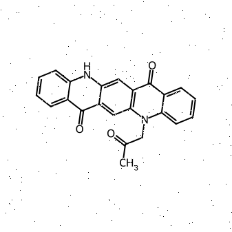 CC(=O)Cn1c2ccccc2c(=O)c2cc3[nH]c4ccccc4c(=O)c3cc21